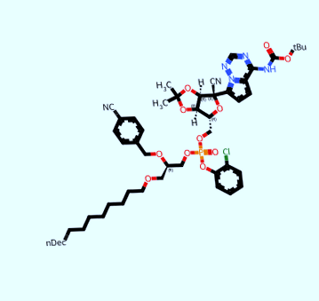 CCCCCCCCCCCCCCCCCCOC[C@H](COP(=O)(OC[C@H]1O[C@@](C#N)(c2ccc3c(NC(=O)OC(C)(C)C)ncnn23)[C@@H]2OC(C)(C)O[C@@H]21)Oc1ccccc1Cl)OCc1ccc(C#N)cc1